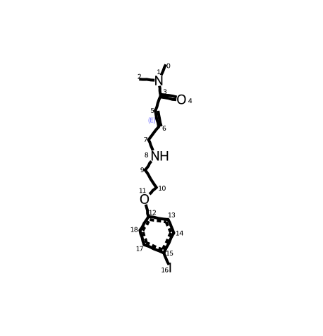 CN(C)C(=O)/C=C/CNCCOc1ccc(I)cc1